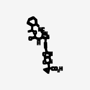 Cc1ccccc1C(C)OC(=O)Nc1c(C#N)nsc1C#Cc1nc2nc(C3(C(=O)O)CC3)oc2o1